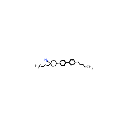 C=CCCC1(C#N)CCC(c2ccc(-c3ccc(CCCCC)cc3)cc2)CC1